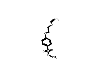 C=COCCOc1ccc(S(=O)(=O)OC)cc1